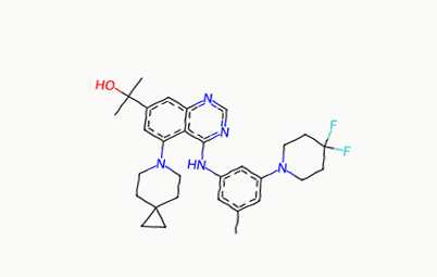 Cc1cc(Nc2ncnc3cc(C(C)(C)O)cc(N4CCC5(CC4)CC5)c23)cc(N2CCC(F)(F)CC2)c1